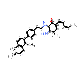 C=C/C=C\c1c(C)ccc(-c2ccc(CCNC3=C(N)C(C)C=C(/C=C\C=C/C)C3=O)cc2)c1C